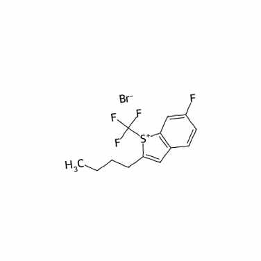 CCCCc1cc2ccc(F)cc2[s+]1C(F)(F)F.[Br-]